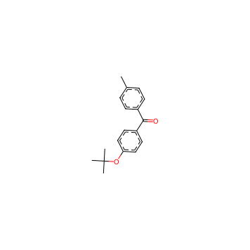 Cc1ccc(C(=O)c2ccc(OC(C)(C)C)cc2)cc1